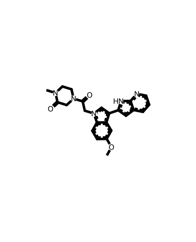 COc1ccc2c(c1)c(-c1cc3cccnc3[nH]1)cn2CC(=O)N1CCN(C)C(=O)C1